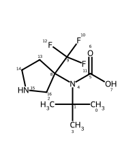 CC(C)(C)N(C(=O)O)C1(C(F)(F)F)CCNC1